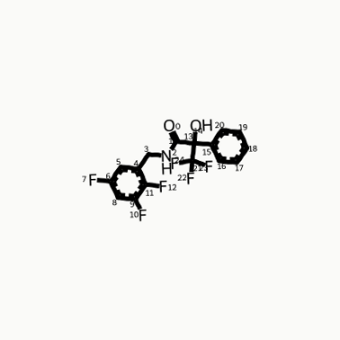 O=C(NCc1cc(F)cc(F)c1F)C(O)(c1ccccc1)C(F)(F)F